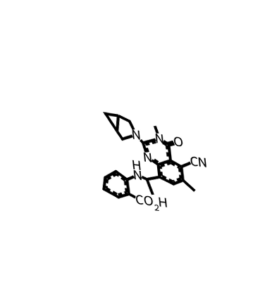 Cc1cc(C(C)Nc2ccccc2C(=O)O)c2nc(N3CC4CC4C3)n(C)c(=O)c2c1C#N